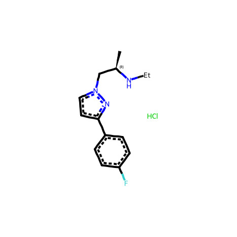 CCN[C@H](C)Cn1ccc(-c2ccc(F)cc2)n1.Cl